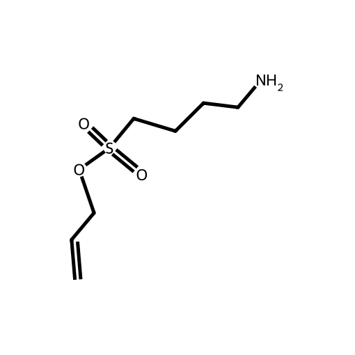 C=CCOS(=O)(=O)CCCCN